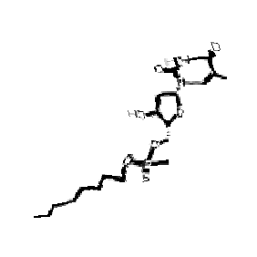 CCCCCCCCOP(C)(=S)OC[C@H]1O[C@@H](n2cc(C)c(=O)[nH]c2=O)CC1O